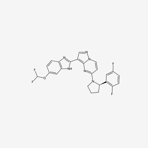 Fc1ccc(F)c([C@H]2CCCN2c2ccn3ncc(-c4nc5ccc(OC(F)F)cc5[nH]4)c3n2)c1